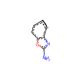 Nc1nc2[c]cccc2o1